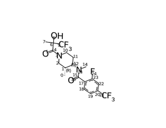 C[C@@H]1CN(C(=O)C(C)(O)C(F)(F)F)CC[C@@H]1N(C)C(=O)c1ccc(C(F)(F)F)cc1F